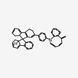 C=C1/C=C\C=C/N(c2ccc(C3=CC4=C(CC3)C3=CC=CCC3C43c4ccccc4C4=CC=CC[C@@H]43)cc2)c2ccccc21